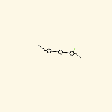 CCCCCc1ccc(C#Cc2ccc(C#Cc3ccc(CCCC)c(F)c3)cc2)cc1